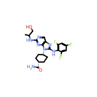 CC(CO)Nc1ncc2nc(Nc3c(F)cc(F)cc3F)n([C@H]3CC[C@@H](C(N)=O)CC3)c2n1